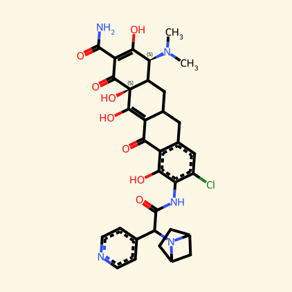 CN(C)[C@@H]1C(O)=C(C(N)=O)C(=O)[C@@]2(O)C(O)=C3C(=O)c4c(cc(Cl)c(NC(=O)C(c5ccncc5)N5C6CCC5C6)c4O)CC3CC12